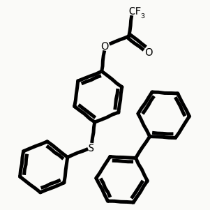 O=C(Oc1ccc(Sc2ccccc2)cc1)C(F)(F)F.c1ccc(-c2ccccc2)cc1